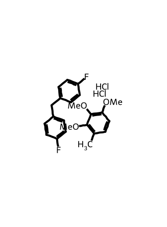 COc1ccc(C)c(OC)c1OC.Cl.Cl.Fc1ccc(Cc2ccc(F)cc2)cc1